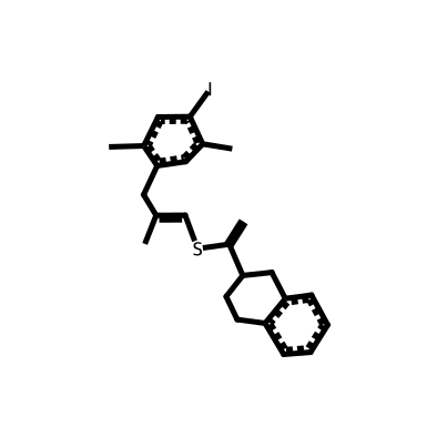 C=C(S/C=C(\C)Cc1cc(C)c(I)cc1C)C1CCc2ccccc2C1